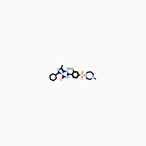 COc1cc(S(=O)(=O)N2CCCN(C)CC2)ccc1-c1nc2c(C)nc(C3CCCCC3)n2c(=O)[nH]1